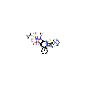 Cc1cc(C(=O)NS(=O)(=O)C2(C)CC2)cc2sc(N3C4CC(NCc5c(-c6ccccc6C(F)(F)F)noc5C5CC5)CC3C4)nc12